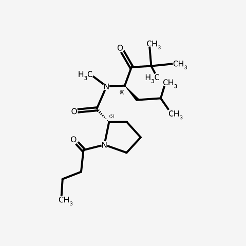 CCCC(=O)N1CCC[C@H]1C(=O)N(C)[C@H](CC(C)C)C(=O)C(C)(C)C